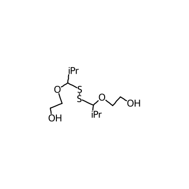 CC(C)C(OCCO)SSC(OCCO)C(C)C